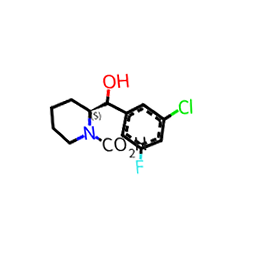 O=C(O)N1CCCC[C@H]1C(O)c1cc(F)cc(Cl)c1